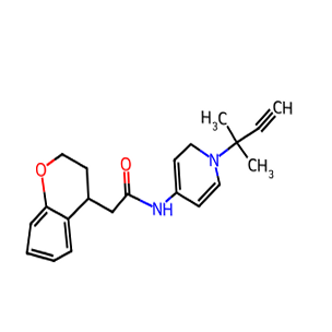 C#CC(C)(C)N1C=CC(NC(=O)CC2CCOc3ccccc32)=CC1